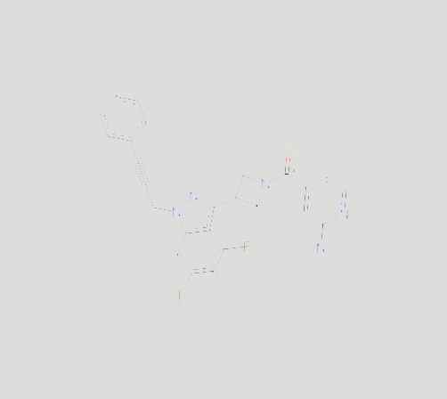 Nc1cc(C(=O)N2CC(c3nn(CC#Cc4ccccc4)c4cc(F)cc(F)c34)C2)ccn1